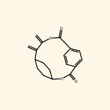 C=C1OC(=O)c2ccc(cc2)C(=O)OC2CCC(CC2)C1=C